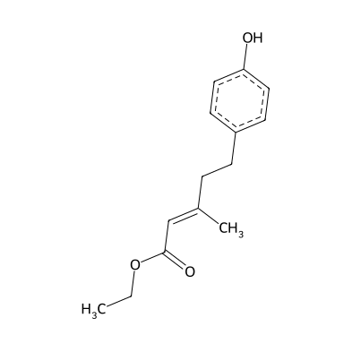 CCOC(=O)/C=C(\C)CCc1ccc(O)cc1